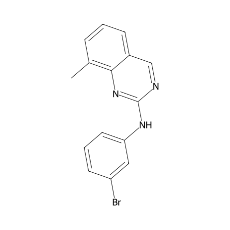 Cc1cccc2cnc(Nc3cccc(Br)c3)nc12